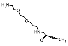 CC#CC(=O)CNCCCOCCOCCN